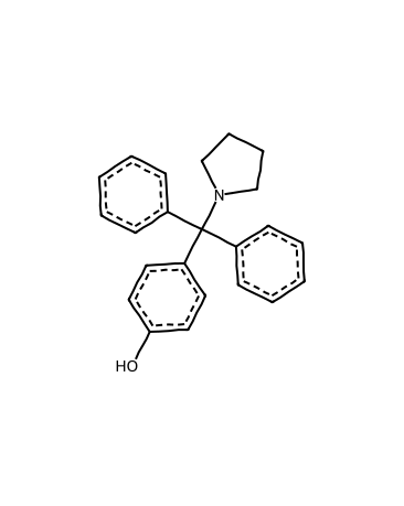 Oc1ccc(C(c2ccccc2)(c2ccccc2)N2CCCC2)cc1